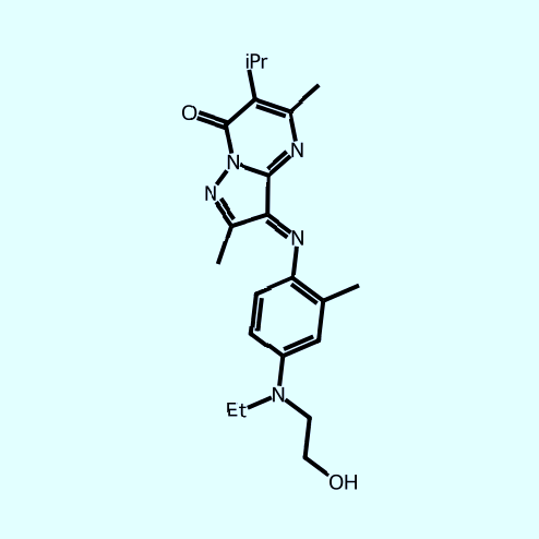 CCN(CCO)c1ccc(N=C2C(C)=Nn3c2nc(C)c(C(C)C)c3=O)c(C)c1